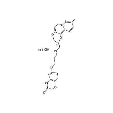 Cc1ccc2c3c(ccc2n1)OC[C@H](CNCCCOc1ccc2c(c1)NC(=O)CO2)O3.Cl.Cl